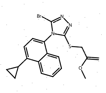 C=C(CSc1nnc(Br)n1-c1ccc(C2CC2)c2ccccc12)OC